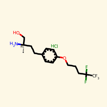 C[C@](N)(CO)CCc1ccc(OCCCC(F)(F)C(F)(F)F)cc1.Cl